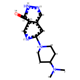 CN(C)C1CCN(c2cc3cn[nH]c(=O)c3cn2)CC1